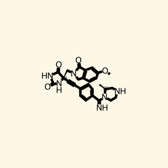 COc1ccc2c(c1)C(=O)N(C[C@@]1(C#Cc3ccc(C(=N)N4CCNC[C@@H]4C)cc3)NC(=O)NC1=O)C2